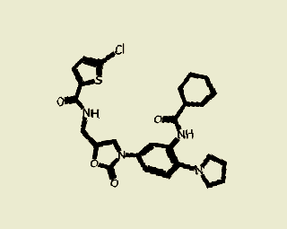 O=C(NCC1CN(c2ccc(N3CCCC3)c(NC(=O)C3CCCCC3)c2)C(=O)O1)c1ccc(Cl)s1